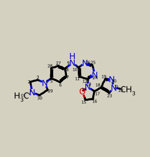 CN1CCN(c2ccc(Nc3cc(N4OCCC4c4cnn(C)c4)ncn3)cc2)CC1